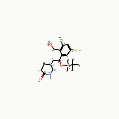 CC(C)(C)[Si](C)(C)O[C@@H](C[C@@H]1CCC(=O)NC1)c1cc(F)cc(Cl)c1CO